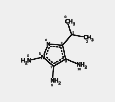 CC(C)c1nn(N)c(N)c1N